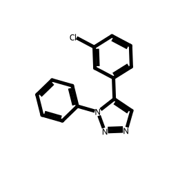 Clc1cccc(-c2cnnn2-c2ccccc2)c1